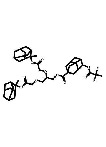 CC(F)(F)C(=O)OC1C2CC3CC1CC(C(=O)OCC(COCC(=O)OC1(C)C4CC5CC(C4)CC1C5)OCC(=O)OC1(C)C4CC5CC(C4)CC1C5)(C3)C2